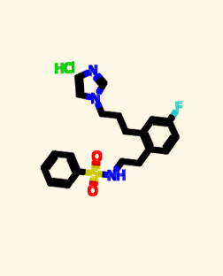 Cl.O=S(=O)(NCCc1ccc(F)cc1CCCn1ccnc1)c1ccccc1